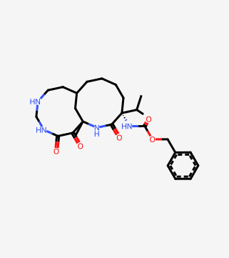 CC(C)[C@]1(NC(=O)OCc2ccccc2)CCCCC2CCNCNC(=O)C(=O)C(C)(C2)NC1=O